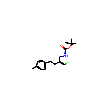 Cc1ccc(CC/C(=C/Cl)CNC(=O)OC(C)(C)C)cc1